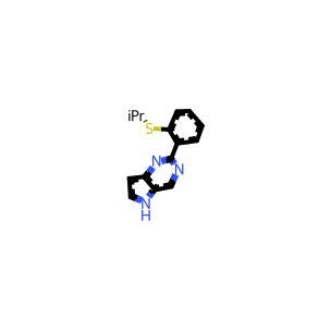 CC(C)Sc1ccccc1-c1ncc2[nH]ccc2n1